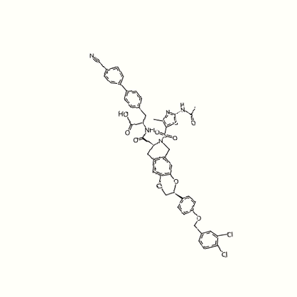 CC(=O)Nc1nc(C)c(S(=O)(=O)N2Cc3cc4c(cc3C[C@H]2C(=O)NC(Cc2ccc(-c3ccc(C#N)cc3)cc2)C(=O)O)OC[C@H](c2ccc(OCc3ccc(Cl)c(Cl)c3)cc2)O4)s1